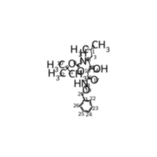 CC(C)C[C@H](NC(=O)OC(C)(C)C)[C@H](O)CC(=O)NOCc1ccccc1